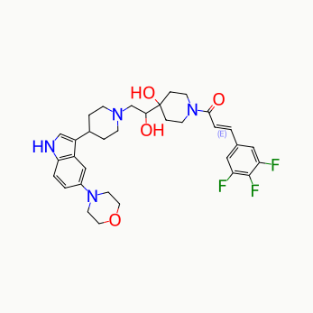 O=C(/C=C/c1cc(F)c(F)c(F)c1)N1CCC(O)(C(O)CN2CCC(c3c[nH]c4ccc(N5CCOCC5)cc34)CC2)CC1